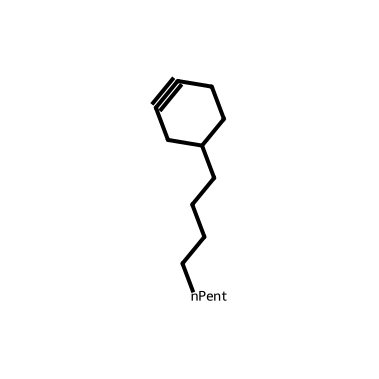 CCCCCCCCCC1CC#CCC1